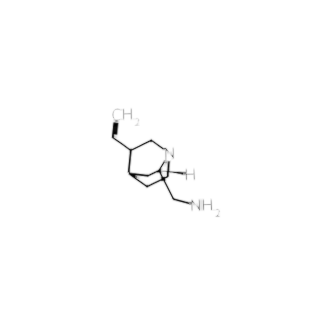 C=CC1CN2CCC1C[C@H]2CN